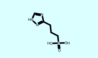 O=P(O)(O)CCCc1nc[nH]n1